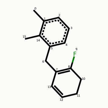 Cc1cccc(CC2=C(F)CCC=C2)c1C